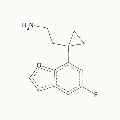 NCCC1(c2cc(F)cc3ccoc23)CC1